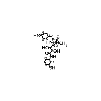 CNC(=O)C(Cc1ccc(O)cc1)NC(=O)C(O)[C@H](O)C(=O)Nc1cccc(O)c1